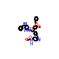 COCC(=O)NC1CCC(Cc2ccccc2)(N(C)C)CC1.COc1cc(/C=C\C(=O)NC2CCC(Cc3ccccc3)(N(C)C)CC2)ccc1OCc1ccccc1